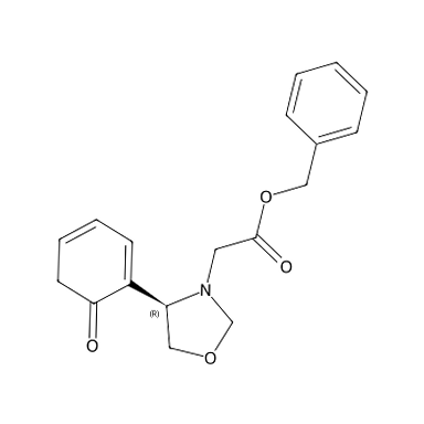 O=C(CN1COC[C@H]1C1=CC=CCC1=O)OCc1ccccc1